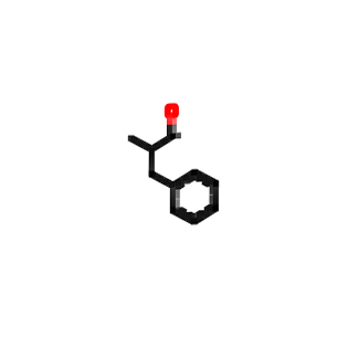 CC([C]=O)Cc1ccccc1